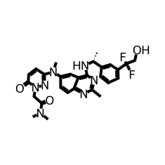 Cc1nc(N[C@H](C)c2cccc(C(F)(F)CO)c2)c2cc(N(C)c3ccc(=O)n(CC(=O)N(C)C)n3)ccc2n1